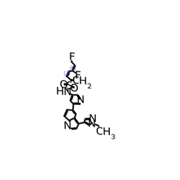 C=C(/C=C\C(F)=C/CF)S(=O)(=O)Nc1cncc(-c2ccc3nccc(-c4cnn(CC)c4)c3c2)c1